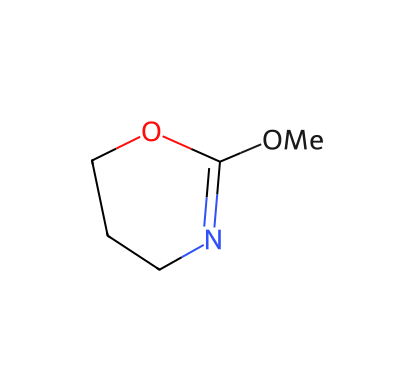 COC1=NCCCO1